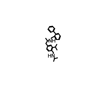 CC(C)NCc1ccc(CC(C)NCc2ccccc2-c2ccccc2)cc1C(C)C